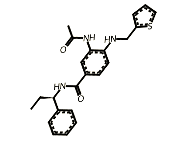 CC[C@@H](NC(=O)c1ccc(NCc2cccs2)c(NC(C)=O)c1)c1ccccc1